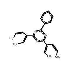 C/C=C\C(=C/C)c1nc(C(/C=C\C)=C/C)nc(-c2ccccc2)n1